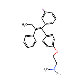 CCC(=C(c1ccc(OCCN(C)C)cc1)c1cccc(I)c1)c1ccccc1